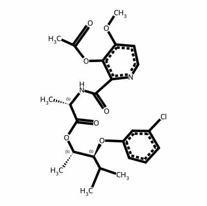 COc1ccnc(C(=O)N[C@@H](C)C(=O)O[C@@H](C)[C@@H](Oc2cccc(Cl)c2)C(C)C)c1OC(C)=O